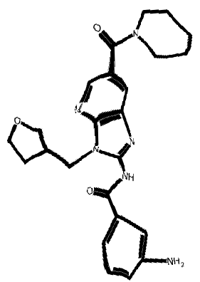 Nc1cccc(C(=O)Nc2nc3cc(C(=O)N4CCCCC4)cnc3n2CC2CCOC2)c1